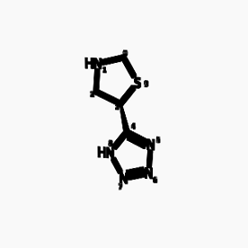 C1NC[C@H](c2nnn[nH]2)S1